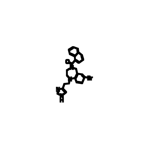 O=C(c1cccc2ccccc12)N1CCN(CCc2c[nH]cn2)c2ccc(Br)cc2C1